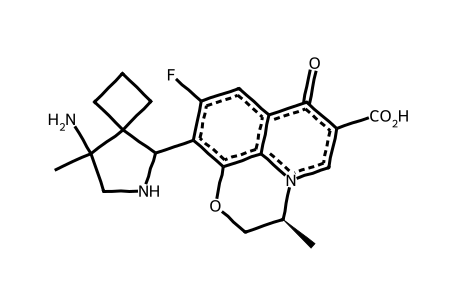 C[C@H]1COc2c(C3NCC(C)(N)C34CCC4)c(F)cc3c(=O)c(C(=O)O)cn1c23